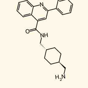 NC[C@H]1CC[C@H](CNC(=O)c2cc(-c3ccccc3)nc3ccccc23)CC1